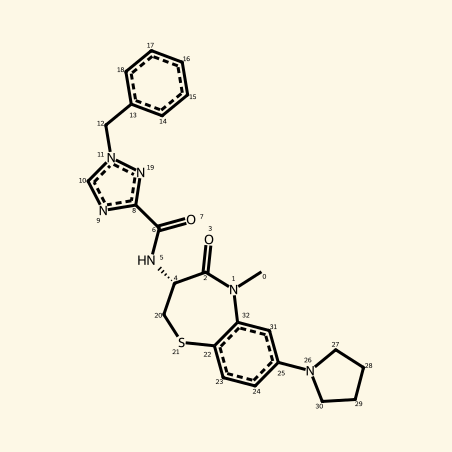 CN1C(=O)[C@@H](NC(=O)c2ncn(Cc3ccccc3)n2)CSc2ccc(N3CCCC3)cc21